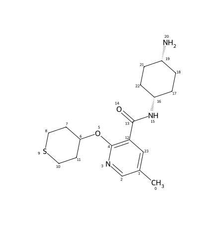 Cc1cnc(OC2CCSCC2)c(C(=O)N[C@H]2CC[C@@H](N)CC2)c1